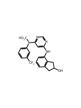 O=C(O)N(c1cccc(C(F)(F)F)c1)c1cc(Nc2cccc3c2CC(O)C3)ncn1